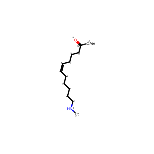 CCNCCCCC/C=C\CCCC(=O)OC